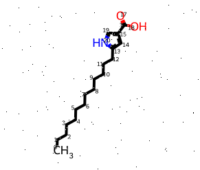 CCCCCCCCCCCCCc1cc(C(=O)O)c[nH]1